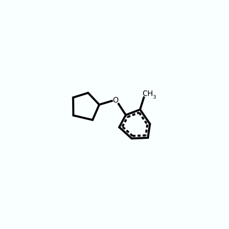 Cc1ccccc1OC1CCCC1